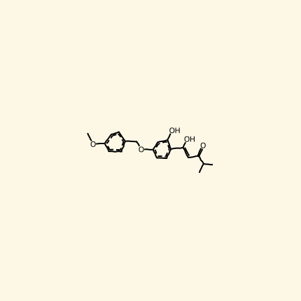 COc1ccc(COc2ccc(C(O)=CC(=O)C(C)C)c(O)c2)cc1